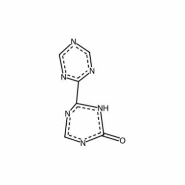 O=c1ncnc(-c2ncncn2)[nH]1